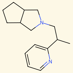 CC(CN1CC2CCCC2C1)c1ccccn1